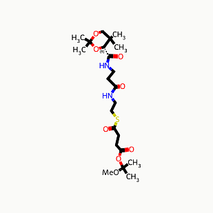 COC(C)(C)OC(=O)CCC(=O)SCCNC(=O)CCNC(=O)[C@@H]1OC(C)(C)OCC1(C)C